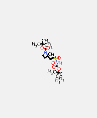 CC(C)(C)OC(=O)NS(=O)(=O)/C=C/C1(C)CCN1C(=O)OC(C)(C)C